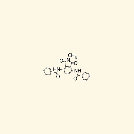 CN1C(=O)c2c(NC(=O)c3ccccc3)ccc(NC(=O)c3ccccc3)c2C1=O